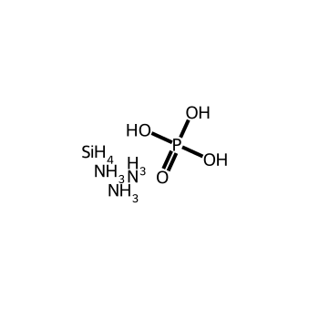 N.N.N.O=P(O)(O)O.[SiH4]